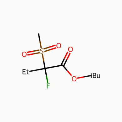 CCC(C)OC(=O)C(F)(CC)S(C)(=O)=O